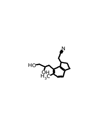 Cc1ccc2c(c1CC(O)CO)C(CC#N)CC2